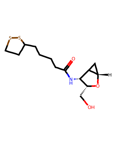 O=C(CCCCC1CCSS1)N[C@@H]1C2C[C@@H]2O[C@@H]1CO